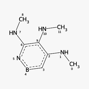 CNc1cbnc(NC)c1NC